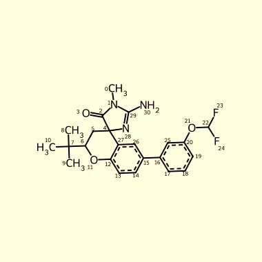 CN1C(=O)C2(CC(C(C)(C)C)Oc3ccc(-c4cccc(OC(F)F)c4)cc32)N=C1N